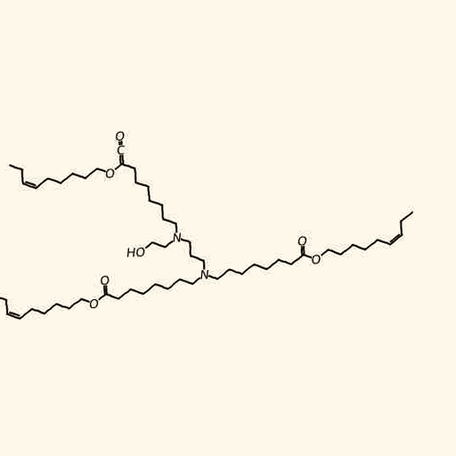 CC/C=C\CCCCCOC(=O)CCCCCCCN(CCCCCCCC(=O)OCCCCC/C=C\CC)CCCN(CCO)CCCCCCCC(=C=O)OCCCCC/C=C\CC